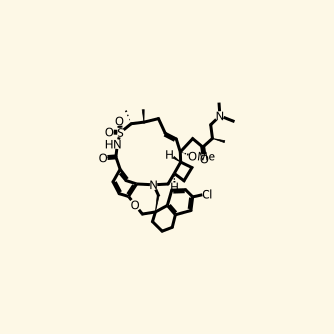 CO[C@@]1(CC(=O)[C@H](C)CN(C)C)/C=C/C[C@H](C)[C@@H](C)S(=O)(=O)NC(=O)c2ccc3c(c2)N(C[C@@H]2CC[C@H]21)C[C@@]1(CCCc2cc(Cl)ccc21)CO3